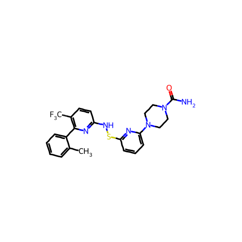 Cc1ccccc1-c1nc(NSc2cccc(N3CCN(C(N)=O)CC3)n2)ccc1C(F)(F)F